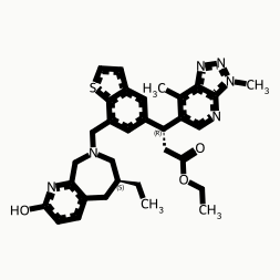 CCOC(=O)C[C@H](c1cc(CN2Cc3nc(O)ccc3C[C@H](CC)C2)c2sccc2c1)c1cnc2c(nnn2C)c1C